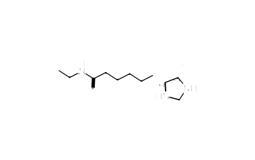 CCNC(=O)CCCCC[C@H]1NCN[C@H]1C